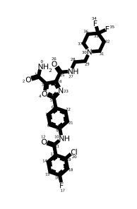 NC(=O)c1oc(-c2ccc(NC(=O)c3ccc(F)cc3Cl)cc2)nc1C(=O)NCCN1CCC(F)(F)CC1